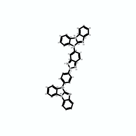 c1ccc2c(c1)nc1n(-c3ccc(-n4nc5ccc(-n6c7ccccc7n7c8ccccc8nc67)cc5n4)cc3)c3ccccc3n21